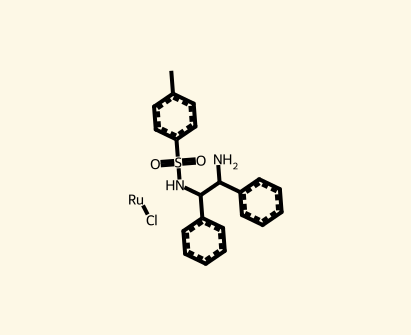 Cc1ccc(S(=O)(=O)NC(c2ccccc2)C(N)c2ccccc2)cc1.[Cl][Ru]